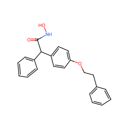 O=C(NO)C(c1ccccc1)c1ccc(OCCc2ccccc2)cc1